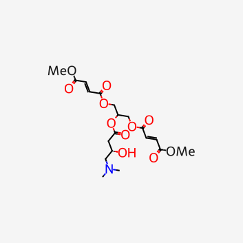 COC(=O)/C=C/C(=O)OCC(COC(=O)/C=C/C(=O)OC)OC(=O)C[C@@H](O)CN(C)C